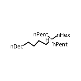 CCCCCCCCCCCCCC[PH](CCCCC)(CCCCC)CCCCCC